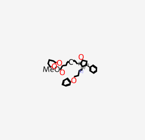 COC(=O)C(CC=C=CC[C@H]1C(=O)C[C@@H](c2ccccc2)[C@@H]1/C=C/CCOc1ccccc1)OC1CCCCO1